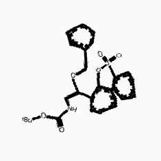 CC(C)(C)OC(=O)NCC(OCc1ccccc1)c1ccccc1OS(=O)(=O)c1ccccc1